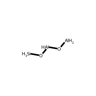 [AlH2][O][AlH][O][SiH3]